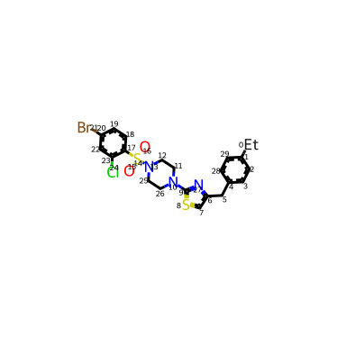 CCc1ccc(Cc2csc(N3CCN(S(=O)(=O)c4ccc(Br)cc4Cl)CC3)n2)cc1